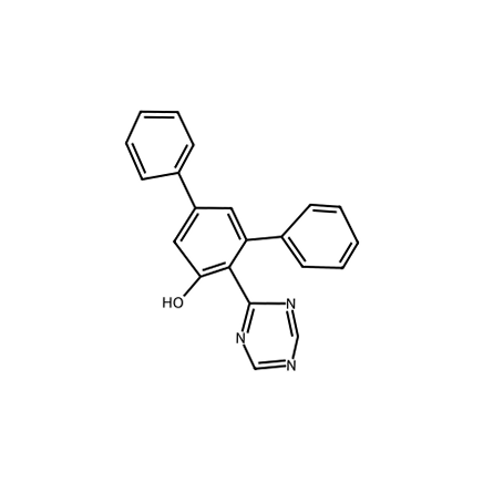 Oc1cc(-c2ccccc2)cc(-c2ccccc2)c1-c1ncncn1